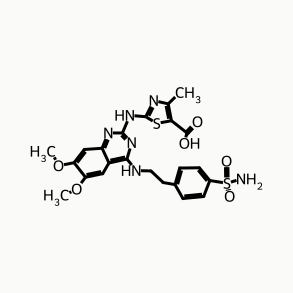 COc1cc2nc(Nc3nc(C)c(C(=O)O)s3)nc(NCCc3ccc(S(N)(=O)=O)cc3)c2cc1OC